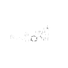 CC(C)(C)OC(=O)NC(=N)c1ccc(OCCCCBr)c(Br)c1